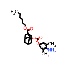 Cc1cc(OC(=O)OC23CC4CC(C2)CC(C(=O)OCCCCCC(F)(F)F)(C4)C3)cc(C)c1N